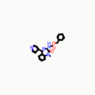 CN1C(=O)C(NC(=O)OCc2ccccc2)N=C(c2ccncc2)c2ccccc21